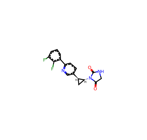 O=C1CNC(=O)N1[C@@H]1C[C@H]1c1ccc(-c2cccc(F)c2F)nc1